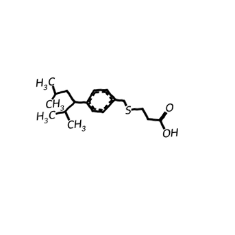 CC(C)CC(c1ccc(CSCCC(=O)O)cc1)C(C)C